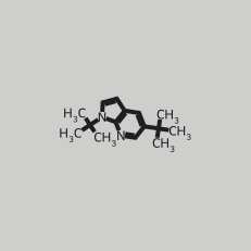 CC(C)(C)c1cnc2c(ccn2C(C)(C)C)c1